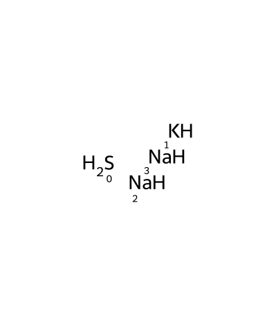 S.[KH].[NaH].[NaH]